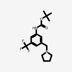 CC(C)(C)OC(=O)Nc1cc(CN2CCCC2)cc(C(F)(F)F)c1